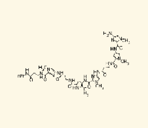 CCCNC(=O)CCNC(=O)c1nc(NC(=O)CCNC(=O)c2cc(NC(=O)c3nc(NC(=O)CCNC(=O)c4cc(NC(=O)c5nc(N)cn5C)cn4C)cn3C)c(C)[nH]2)cn1C